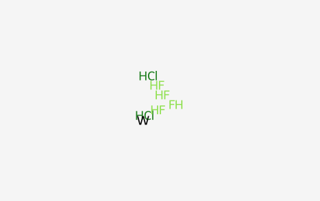 Cl.Cl.F.F.F.F.[W]